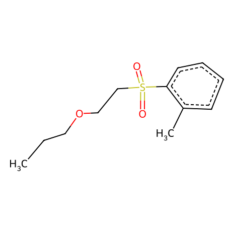 CCCOCCS(=O)(=O)c1ccccc1C